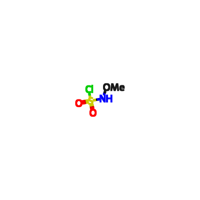 CONS(=O)(=O)Cl